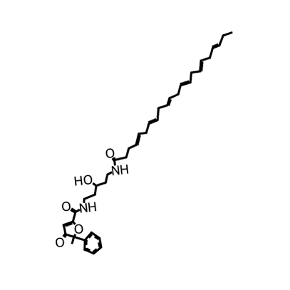 CCC=CCC=CCC=CCC=CCC=CCC=CCCC(=O)NCCC(O)CCNC(=O)C1=CC(=O)C(C)(c2ccccc2)O1